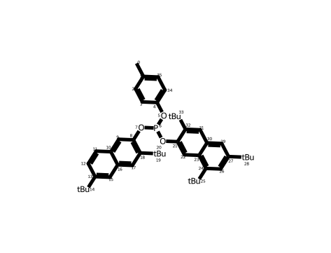 Cc1ccc(OP(Oc2cc3ccc(C(C)(C)C)cc3cc2C(C)(C)C)Oc2cc3c(C(C)(C)C)cc(C(C)(C)C)cc3cc2C(C)(C)C)cc1